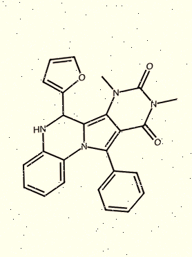 Cn1c(=O)c2c(-c3ccccc3)n3c(c2n(C)c1=O)C(c1ccco1)Nc1ccccc1-3